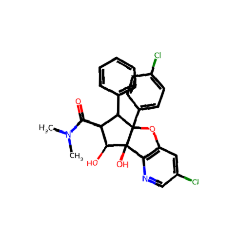 CN(C)C(=O)C1C(O)C2(O)c3ncc(Cl)cc3OC2(c2ccc(Cl)cc2)C1c1ccccc1